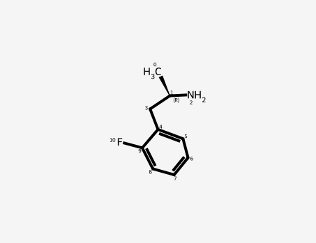 C[C@@H](N)Cc1ccccc1F